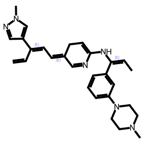 C=C/C(=C\C=C1\C=NC(N/C(=C/C)c2cccc(N3CCN(C)CC3)c2)=CC1)c1cnn(C)c1